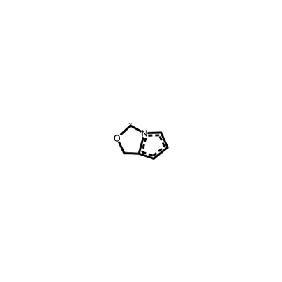 [C]1OCc2cccn21